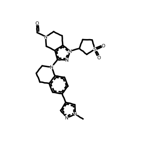 Cn1cc(-c2ccc3c(c2)CCCN3c2nn(C3CCS(=O)(=O)C3)c3c2CN(C=O)CC3)cn1